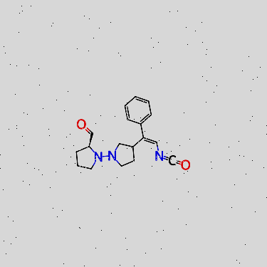 O=C=NC=C(c1ccccc1)C1CCN(N2CCC[C@H]2C=O)C1